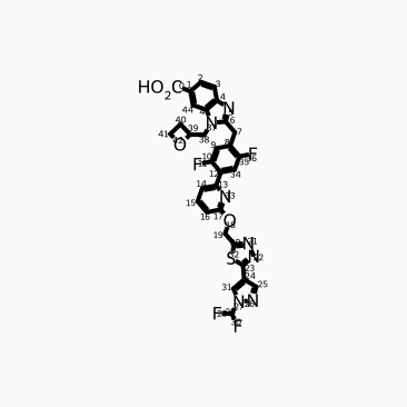 O=C(O)c1ccc2nc(Cc3cc(F)c(-c4cccc(OCc5nnc(-c6cnn(C(F)F)c6)s5)n4)cc3F)n(CC3CCO3)c2c1